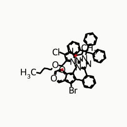 CCCCOC(=O)c1c(Cl)nc(CC)n1Cc1c2ccocc-2c(Br)c1-c1ccccc1-c1nnn(C(c2ccccc2)(c2ccccc2)c2ccccc2)n1